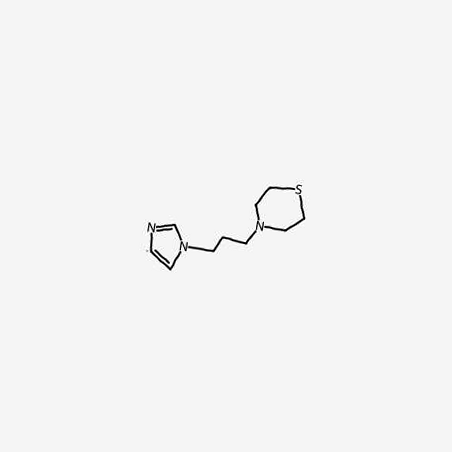 [c]1cn(CCCN2CCSCC2)cn1